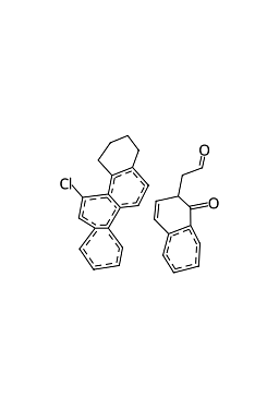 Clc1cc2ccccc2c2ccc3c(c12)CCCC3.O=CCC1C=Cc2ccccc2C1=O